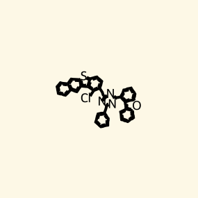 Clc1c(-c2nc(-c3ccccc3)nc(-c3cccc4oc5ccccc5c34)n2)ccc2sc3cc4ccccc4cc3c12